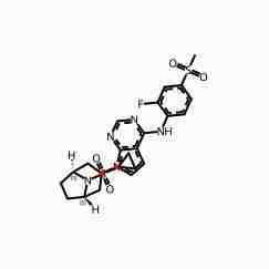 CS(=O)(=O)c1ccc(Nc2ncnc3c2ccn3C2C[C@@H]3CC[C@@H](C2)N3S(=O)(=O)C2CC2)c(F)c1